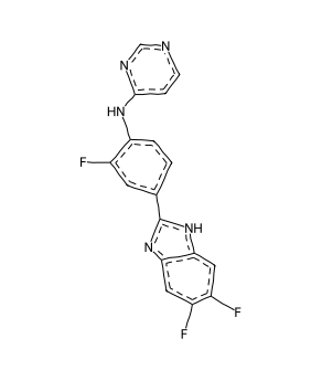 Fc1cc2nc(-c3ccc(Nc4ccncn4)c(F)c3)[nH]c2cc1F